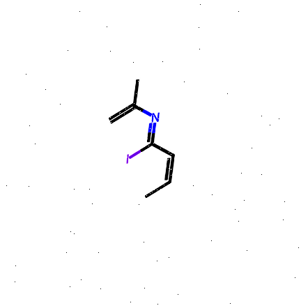 C=C(C)/N=C(I)/C=C\C